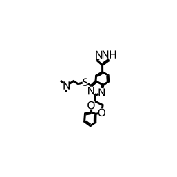 CN(C)CCSc1nc(C2COc3ccccc3O2)nc2ccc(-c3cn[nH]c3)cc12